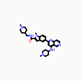 CN1CCC(CNC(=O)c2cc3cc(-c4cc(NC5CCN(C)CC5)c5cnccc5n4)ccc3n2C)CC1